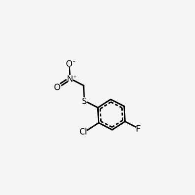 O=[N+]([O-])CSc1ccc(F)cc1Cl